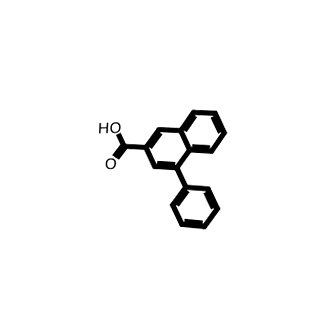 O=C(O)c1cc(-c2ccccc2)c2ccccc2c1